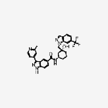 Cc1cc(-c2n[nH]c3ccc(C(=O)N[C@@H]4CCC[C@](O)(Cn5ncc6ccc(C(F)(F)F)cc65)C4)cc23)ccn1